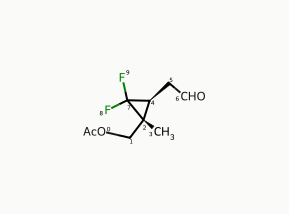 CC(=O)OC[C@@]1(C)[C@H](CC=O)C1(F)F